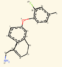 Cc1ccc(Oc2ccc3c(c2)CCC=C3CN)c(F)c1